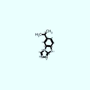 CC(C)c1ccc2sc3nncn3c2c1